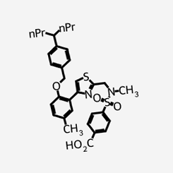 CCCC(CCC)c1ccc(COc2ccc(C)cc2-c2csc(CN(C)S(=O)(=O)c3ccc(C(=O)O)cc3)n2)cc1